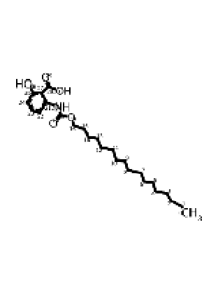 CCCCCCCCCCCCCCCCCOC(=O)Nc1cccc(O)c1C(=O)O